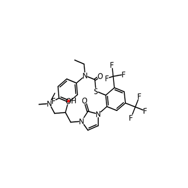 CCN(C(=O)Sc1c(-n2ccn(CC(O)CN(C)C)c2=O)cc(C(F)(F)F)cc1C(F)(F)F)c1ccc(F)cc1